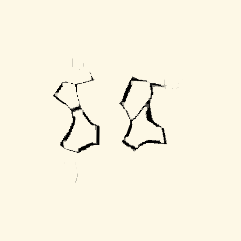 CCC1C=Cc2ccccc21.[Cl-].[Cl-].[Hf+2][CH]1C=Cc2ccccc21